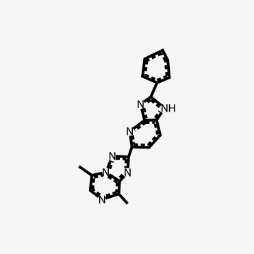 Cc1ncc(C)n2nc(-c3ccc4[nH]c(-c5ccccc5)nc4n3)nc12